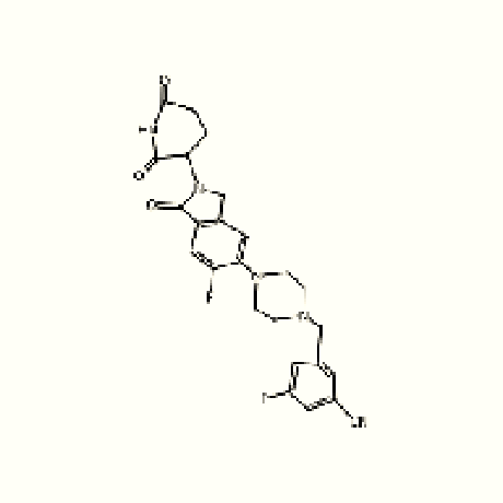 N#Cc1cc(F)cc(CN2CCN(c3cc4c(cc3F)C(=O)N(C3CCC(=O)NC3=O)C4)CC2)c1